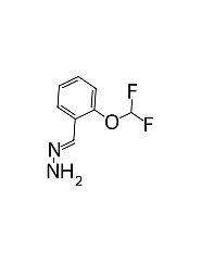 NN=Cc1ccccc1OC(F)F